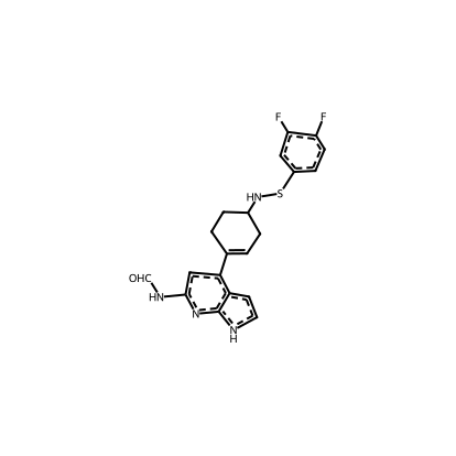 O=CNc1cc(C2=CCC(NSc3ccc(F)c(F)c3)CC2)c2cc[nH]c2n1